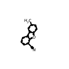 Cc1ccc2oc3c(C#N)cccc3c2c1